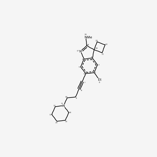 CCc1cc2c(cc1C#CCCN1CCCCC1)N=C(NC)C21CCC1